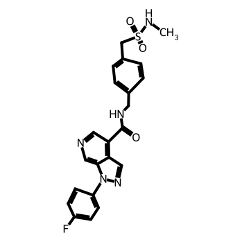 CNS(=O)(=O)Cc1ccc(CNC(=O)c2cncc3c2cnn3-c2ccc(F)cc2)cc1